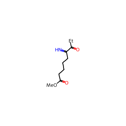 CCC(=O)C(=N)CCCCC(=O)OC